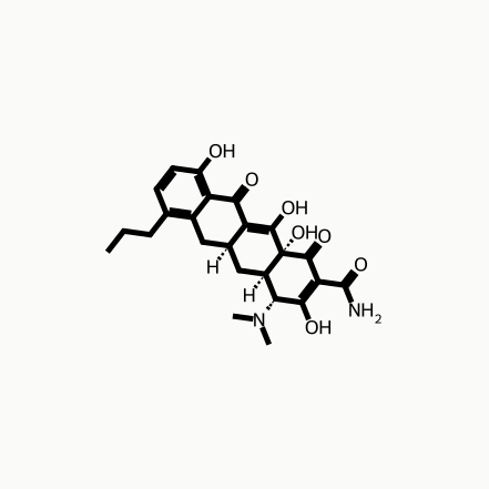 CCCc1ccc(O)c2c1C[C@@H]1C[C@@H]3[C@@H](N(C)C)C(O)=C(C(N)=O)C(=O)[C@]3(O)C(O)=C1C2=O